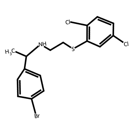 CC(NCCSc1cc(Cl)ccc1Cl)c1ccc(Br)cc1